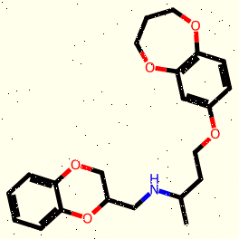 CC(CCOc1ccc2c(c1)OCCCO2)NCC1COc2ccccc2O1